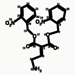 NCC=C(C(=O)OCc1ccccc1[N+](=O)[O-])C(=O)OCc1ccccc1[N+](=O)[O-]